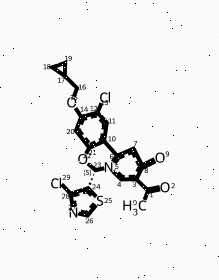 CC(=O)c1cn2c(cc1=O)-c1cc(Cl)c(OCC3CC3)cc1O[C@H]2c1scnc1Cl